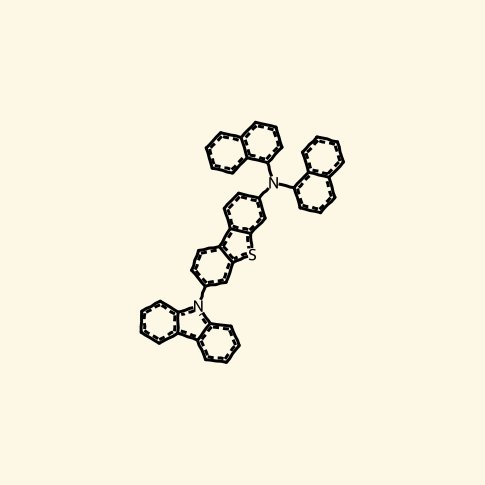 c1ccc2c(N(c3ccc4c(c3)sc3cc(-n5c6ccccc6c6ccccc65)ccc34)c3cccc4ccccc34)cccc2c1